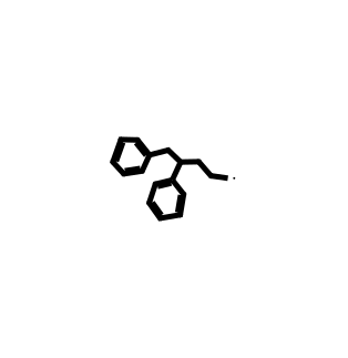 [CH2]CCC(Cc1ccccc1)c1ccccc1